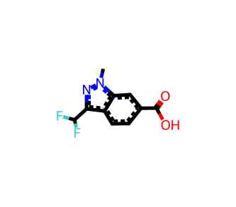 Cn1nc(C(F)F)c2ccc(C(=O)O)cc21